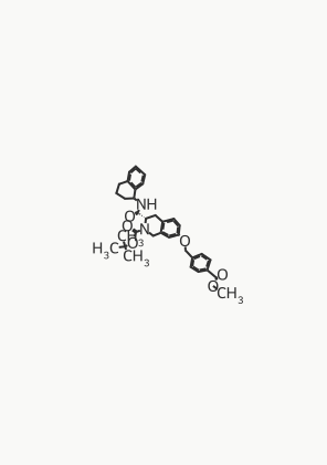 COC(=O)c1ccc(COc2ccc3c(c2)CN(C(=O)OC(C)(C)C)[C@H](C(=O)NC2CCCc4ccccc42)C3)cc1